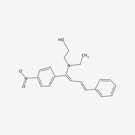 CCN(CCO)C(=CC=Cc1ccccc1)c1ccc([N+](=O)[O-])cc1